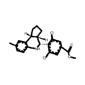 COC(=O)c1cc(Cl)c([C@@H]2Nc3ccc(C)cc3[C@@H]3CCC[C@@H]32)c(Cl)c1